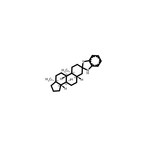 C[C@@]12CCC[C@H]1[C@@H]1CC[C@H]3CC4(CC[C@]3(C)[C@H]1CC2)Nc1ccccc1S4